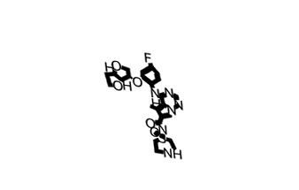 Cc1c(C(=O)N=S2(=O)CCNCC2)cn2ncnc(Nc3ccc(F)cc3O[C@@H]3CO[C@@H]4CCO[C@@H]43)c12